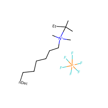 CCCCCCCCCCCCCCCC[N+](C)(C)C(C)(C)CC.F[P-](F)(F)(F)(F)F